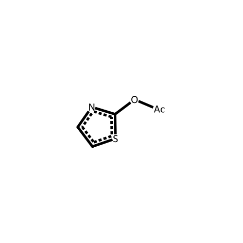 CC(=O)Oc1nccs1